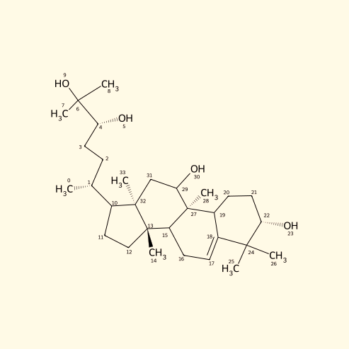 C[C@H](CC[C@@H](O)C(C)(C)O)C1CC[C@@]2(C)C3CC=C4C(CC[C@H](O)C4(C)C)[C@]3(C)C(O)C[C@]12C